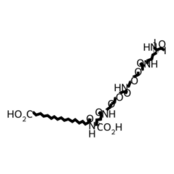 O=C(O)CCCCCCCCCCCCCCCCC(=O)N[C@H](CCC(=O)NCCOCCOCC(=O)NCCOCCOCC(=O)NCCCC[C@H](NI)C(=O)I)C(=O)O